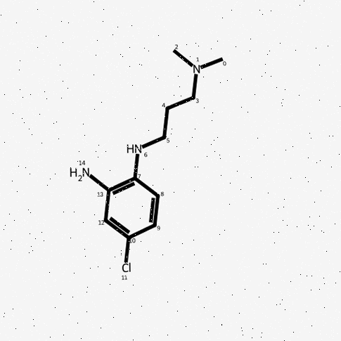 CN(C)CCCNc1ccc(Cl)cc1N